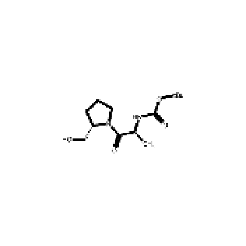 C[C@H](NC(=O)OC(C)(C)C)C(=O)N1CCC[C@H]1CO